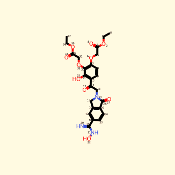 CCOC(=O)COc1ccc(C(=O)CN2Cc3cc(C(=N)NO)ccc3C2=O)c(O)c1OCC(=O)OCC